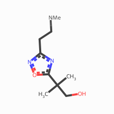 CNCCc1noc(C(C)(C)CO)n1